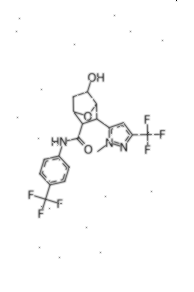 Cn1nc(C(F)(F)F)cc1C1C2OC(CC2O)C1C(=O)Nc1ccc(C(F)(F)F)cc1